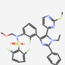 CCn1c(-c2ccccc2)nc(-c2cccc(N(COC)S(=O)(=O)c3c(F)cccc3F)c2F)c1-c1ccnc(SC)n1